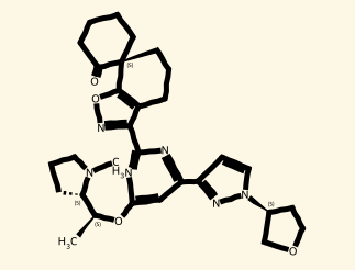 C[C@H](Oc1cc(-c2ccn([C@H]3CCOC3)n2)nc(-c2noc3c2CCC[C@@]32CCCCC2=O)n1)[C@@H]1CCCN1C